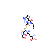 C#CCNC(=O)C(CC1(C)N=N1)NC(=O)CSCC(NC(=O)CCC(N)C(=O)O)C(=O)NCC(=O)O